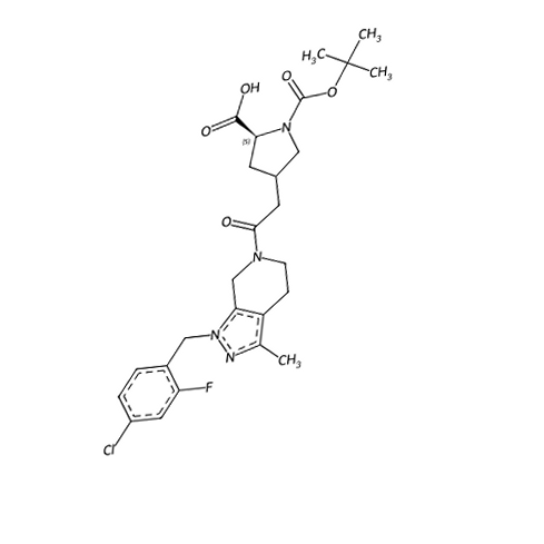 Cc1nn(Cc2ccc(Cl)cc2F)c2c1CCN(C(=O)CC1C[C@@H](C(=O)O)N(C(=O)OC(C)(C)C)C1)C2